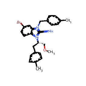 COC[C@H](Cc1ccc(C)cc1)n1c(=N)n(Cc2ccc(C)cc2)c2cc(Br)ccc21